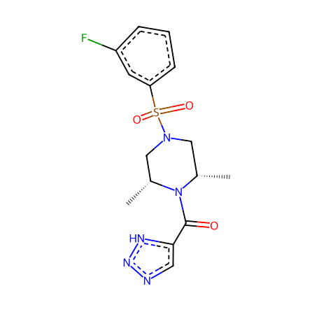 C[C@@H]1CN(S(=O)(=O)c2cccc(F)c2)C[C@H](C)N1C(=O)c1cnn[nH]1